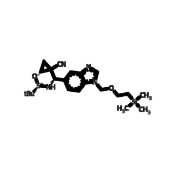 CC(C)(C)[S@@+]([O-])N[C@@H](c1ccc2c(c1)ncn2COCC[Si](C)(C)C)C1(C#N)CC1